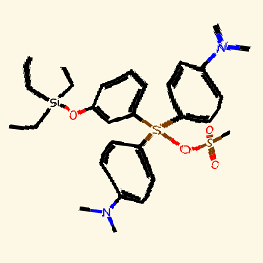 CC[Si](CC)(CC)Oc1cccc(S(OS(C)(=O)=O)(c2ccc(N(C)C)cc2)c2ccc(N(C)C)cc2)c1